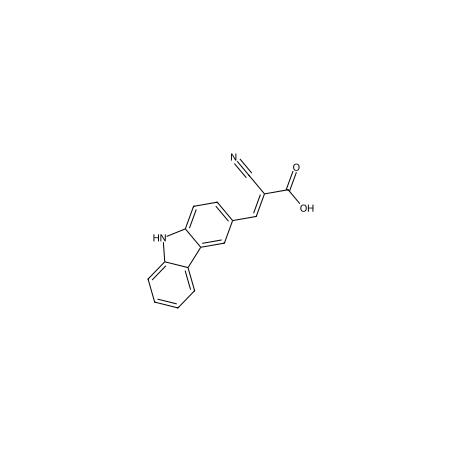 N#C/C(=C\c1ccc2[nH]c3ccccc3c2c1)C(=O)O